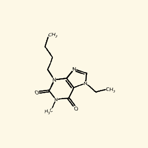 CCCCn1c(=O)n(C)c(=O)c2c1ncn2CC